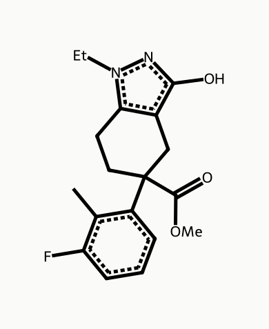 CCn1nc(O)c2c1CCC(C(=O)OC)(c1cccc(F)c1C)C2